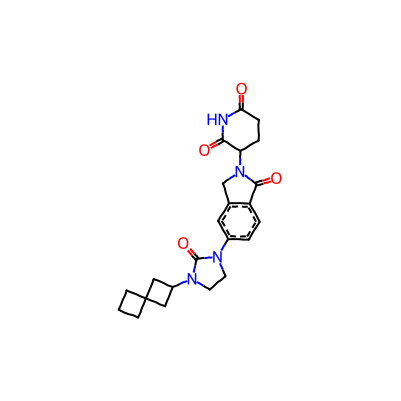 O=C1CCC(N2Cc3cc(N4CCN(C5CC6(CCC6)C5)C4=O)ccc3C2=O)C(=O)N1